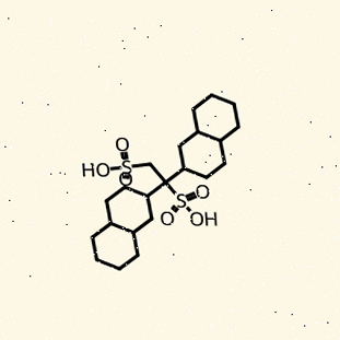 O=S(=O)(O)CC(C1CCC2CCCCC2C1)(C1CCC2CCCCC2C1)S(=O)(=O)O